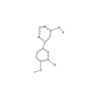 CSc1ccc(-c2cc(OF)ncn2)cc1Cl